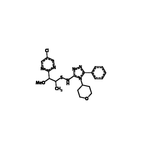 COC(c1ncc(Cl)cn1)C(C)SNc1nnc(-c2ccccc2)n1C1CCOCC1